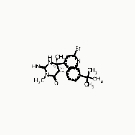 CN1C(=N)N[C@](C)(c2ccnc(Br)c2)[C@H](c2ccc(C(C)(C)C)cc2)C1=O